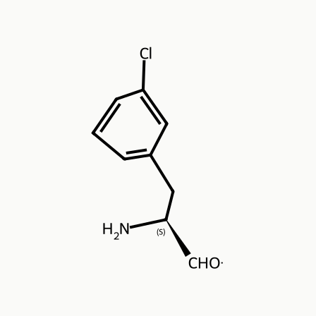 N[C@H]([C]=O)Cc1cccc(Cl)c1